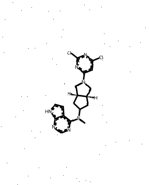 CN(c1ncnc2[nH]ccc12)C1C[C@@H]2CN(c3cc(Cl)nc(Cl)n3)C[C@@H]2C1